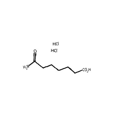 Cl.Cl.NC(=O)CCCCCC(=O)O